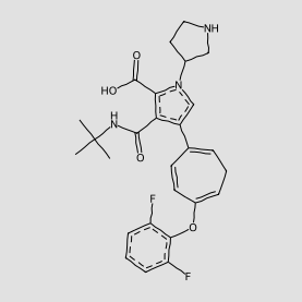 CC(C)(C)NC(=O)c1c(C2=CCC=C(Oc3c(F)cccc3F)C=C2)cn(C2CCNC2)c1C(=O)O